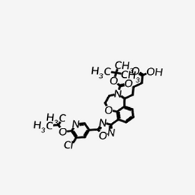 CC(C)Oc1ncc(-c2nc(-c3cccc4c3OCCN(C(=O)OC(C)(C)C)C4CCCC(=O)O)no2)cc1Cl